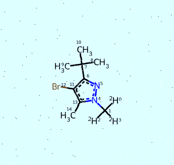 [2H]C([2H])([2H])n1nc(C(C)(C)C)c(Br)c1C